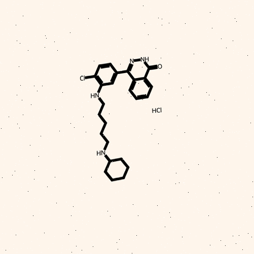 Cl.O=c1[nH]nc(-c2ccc(Cl)c(NCCCCCNC3CCCCC3)c2)c2ccccc12